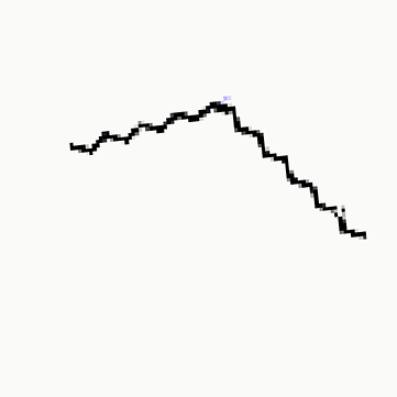 CCCCCCCC/C=C\CCCCCCCOCC